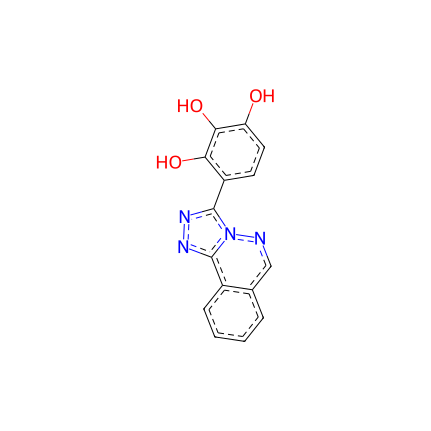 Oc1ccc(-c2nnc3c4ccccc4cnn23)c(O)c1O